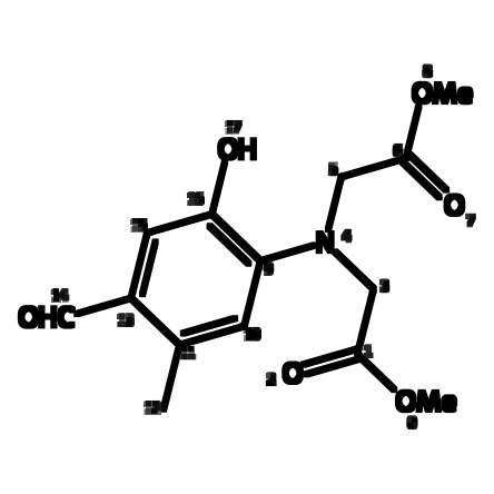 COC(=O)CN(CC(=O)OC)c1cc(C)c(C=O)cc1O